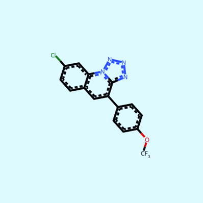 FC(F)(F)Oc1ccc(-c2cc3ccc(Cl)cc3n3nnnc23)cc1